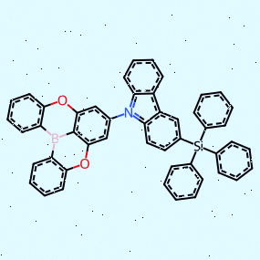 c1ccc([Si](c2ccccc2)(c2ccccc2)c2ccc3c(c2)c2ccccc2n3-c2cc3c4c(c2)Oc2ccccc2B4c2ccccc2O3)cc1